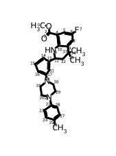 COC(=O)c1cc(F)cc2c1NC(c1cccc(N3CCN(c4ccc(C)cc4)CC3)c1)CC2(C)C